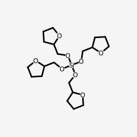 C1COC(CO[Si](OCC2CCCO2)(OCC2CCCO2)OCC2CCCO2)C1